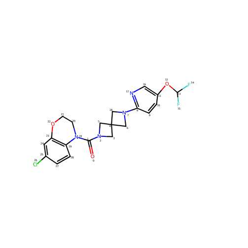 O=C(N1CC2(C1)CN(c1ccc(OC(F)F)cn1)C2)N1CCOc2cc(Cl)ccc21